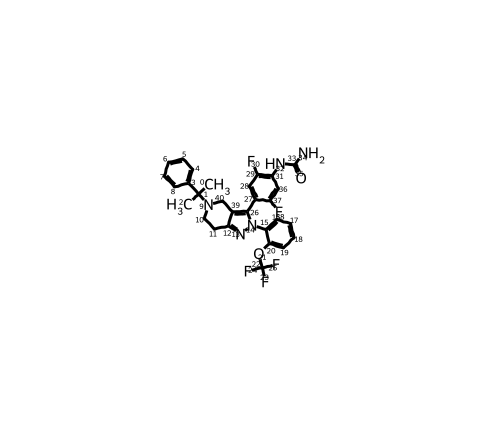 CC(C)(c1ccccc1)N1CCc2nn(-c3ccccc3OC(F)(F)F)c(-c3cc(F)c(NC(N)=O)cc3F)c2C1